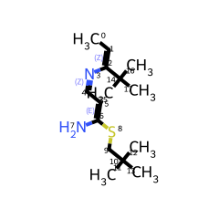 C\C=C(/N=C\C=C(/N)SCC(C)(C)C)C(C)(C)C